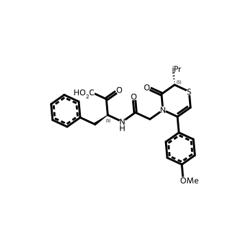 COc1ccc(C2=CS[C@@H](C(C)C)C(=O)N2CC(=O)N[C@@H](Cc2ccccc2)C(=O)C(=O)O)cc1